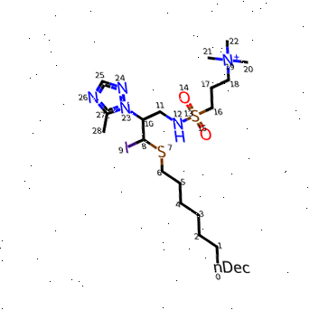 CCCCCCCCCCCCCCCCSC(I)C(CNS(=O)(=O)CCC[N+](C)(C)C)n1ncnc1C